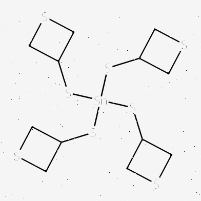 C1SCC1[S][Sn]([S]C1CSC1)([S]C1CSC1)[S]C1CSC1